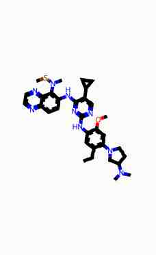 CCc1cc(Nc2ncc(C3CC3)c(Nc3ccc4nccnc4c3N(C)SC)n2)c(OC)cc1N1CCC(N(C)C)C1